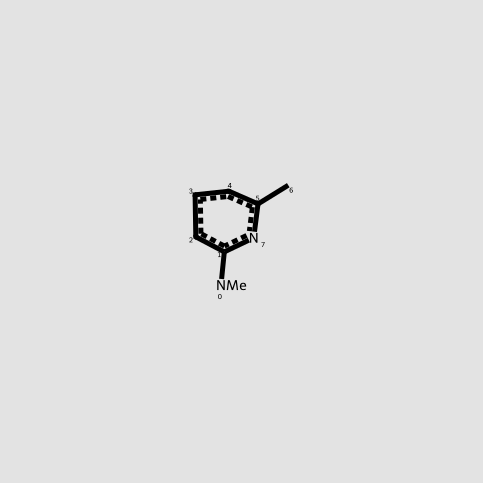 [CH2-][NH2+]c1cccc(C)n1